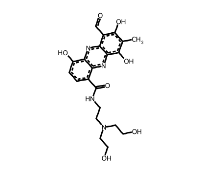 Cc1c(O)c(C=O)c2nc3c(O)ccc(C(=O)NCCN(CCO)CCO)c3nc2c1O